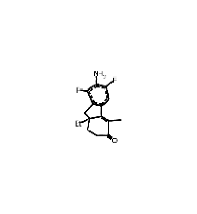 CCC12CCC(=O)C(C)=C1c1cc(F)c(N)c(F)c1C2